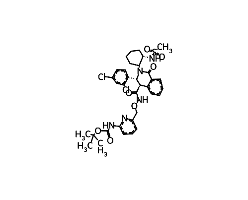 CC(C)(C)OC(=O)Nc1cccc(CONC(=O)[C@@H]2c3ccccc3C(=O)N([C@H]3CCCC[C@@H]3NS(C)(=O)=O)[C@H]2c2ccc(Cl)cc2Cl)n1